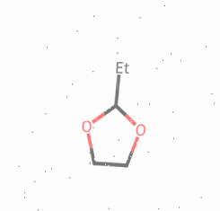 CCC1O[CH]CO1